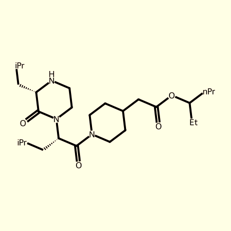 CCCC(CC)OC(=O)CC1CCN(C(=O)[C@H](CC(C)C)N2CCN[C@@H](CC(C)C)C2=O)CC1